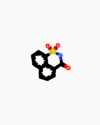 O=C1[N]S(=O)(=O)c2cccc3cccc1c23